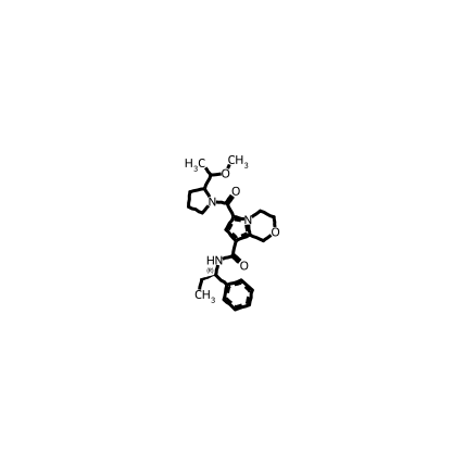 CC[C@@H](NC(=O)c1cc(C(=O)N2CCCC2C(C)OC)n2c1COCC2)c1ccccc1